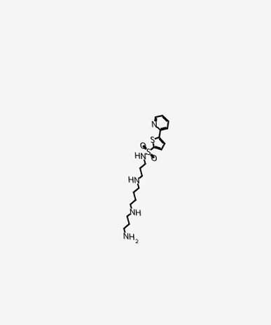 NCCCNCCCCNCCCNS(=O)(=O)c1ccc(-c2ccccn2)s1